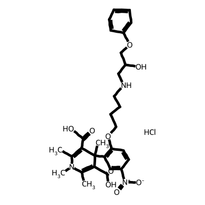 CC1=C(C(=O)O)C(C)(c2cc([N+](=O)[O-])ccc2OCCCCNCC(O)COc2ccccc2)C(C(=O)O)=C(C)N1C.Cl